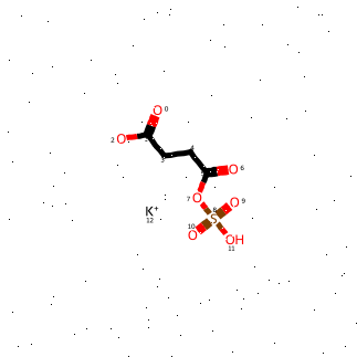 O=C([O-])CCC(=O)OS(=O)(=O)O.[K+]